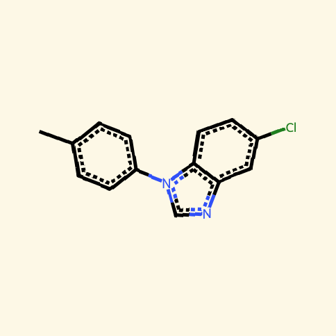 Cc1ccc(-n2cnc3cc(Cl)ccc32)cc1